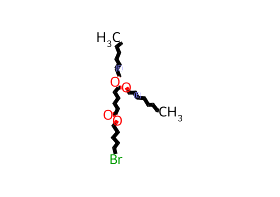 CCCCC/C=C/COC(CCCCC(=O)OCCCCCCBr)OC/C=C/CCCCC